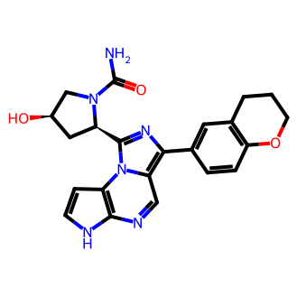 NC(=O)N1C[C@H](O)C[C@@H]1c1nc(-c2ccc3c(c2)CCCO3)c2cnc3[nH]ccc3n12